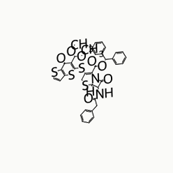 COC(OC)c1c(SC2=C(C(=O)OC(c3ccccc3)c3ccccc3)N3C(=O)C(NC(=O)Cc4ccccc4)[C@@H]3SC2)sc2ccsc2c1=O